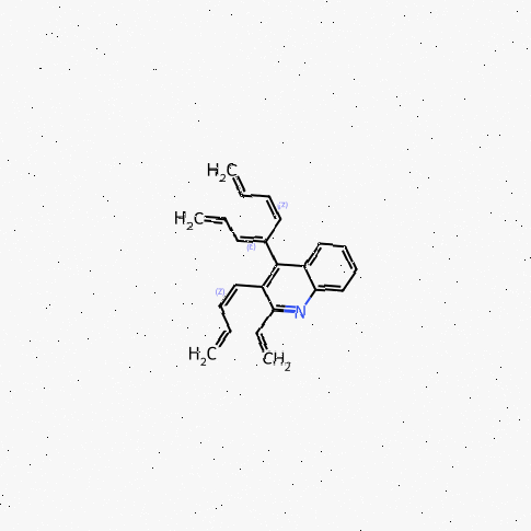 C=C/C=C\C(=C/C=C)c1c(/C=C\C=C)c(C=C)nc2ccccc12